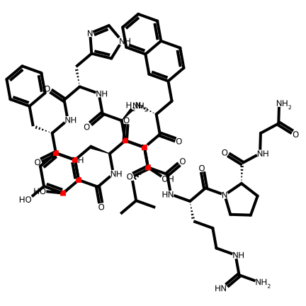 CC(C)C[C@@H](C(=O)N[C@@H](CCCNC(=N)N)C(=O)N1CCC[C@H]1C(=O)NCC(N)=O)N(C(=O)[C@H](N)Cc1ccc2ccccc2c1)C(=O)[C@H](Cc1ccc(O)cc1)NC(=O)[C@H](CO)NC(=O)[C@H](Cc1ccccc1)NC(=O)[C@H](Cc1c[nH]cn1)NC(=O)[C@@H](N)CCC(=O)O